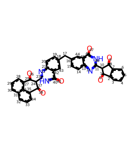 O=C1c2ccccc2C(=O)C1c1nc2ccc(Cc3ccc4nc(C5C(=O)c6cccc7cccc(c67)C5=O)[nH]c(=O)c4c3)cc2c(=O)[nH]1